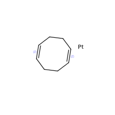 C1=C\CC/C=C\CC/1.[Pt]